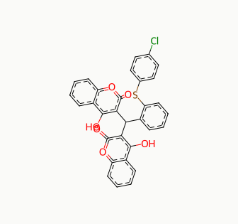 O=c1oc2ccccc2c(O)c1C(c1ccccc1Sc1ccc(Cl)cc1)c1c(O)c2ccccc2oc1=O